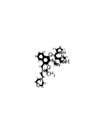 CC(=O)N(CCN1CCOCC1)Cc1ccc(O[C@@H](c2ncnc3[nH]cnc23)C2CCCN2)c2ccccc12